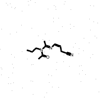 CCCN(C(C)=O)/C(C)=N/C=C\CC#N